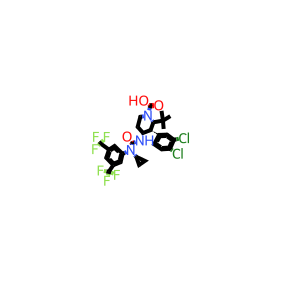 CC(C)(C)C1[C@H](c2ccc(Cl)c(Cl)c2)[C@H](NC(=O)N(c2cc(C(F)(F)F)cc(C(F)(F)F)c2)C2CC2)CCN1C(=O)O